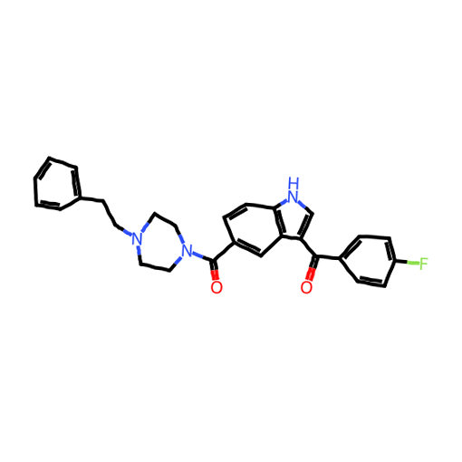 O=C(c1ccc(F)cc1)c1c[nH]c2ccc(C(=O)N3CCN(CCc4ccccc4)CC3)cc12